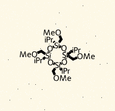 COC[Si]1(C(C)C)O[Si](COC)(C(C)C)O[Si](COC)(C(C)C)O[Si](COC)(C(C)C)O1